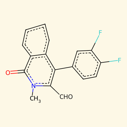 Cn1c(C=O)c(-c2ccc(F)c(F)c2)c2ccccc2c1=O